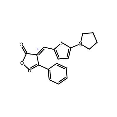 O=C1ON=C(c2ccccc2)/C1=C\c1ccc(N2CCCC2)s1